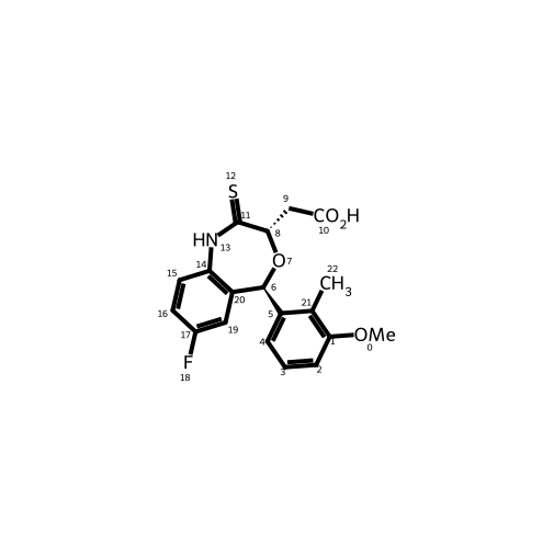 COc1cccc([C@@H]2O[C@@H](CC(=O)O)C(=S)Nc3ccc(F)cc32)c1C